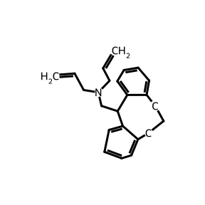 C=CCN(CC=C)CC1c2ccccc2CCCc2ccccc21